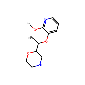 CCCC(Oc1cccnc1OCC)C1CNCCO1